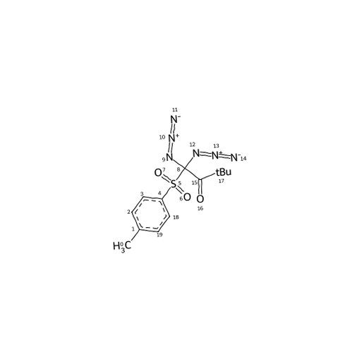 Cc1ccc(S(=O)(=O)C(N=[N+]=[N-])(N=[N+]=[N-])C(=O)C(C)(C)C)cc1